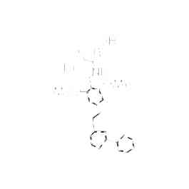 COc1cc(/C=C/c2cccc(-c3ccccc3)c2C)cc(OC)c1CNC(CCO)C(O)O